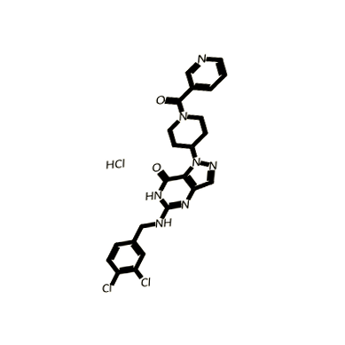 Cl.O=C(c1cccnc1)N1CCC(n2ncc3nc(NCc4ccc(Cl)c(Cl)c4)[nH]c(=O)c32)CC1